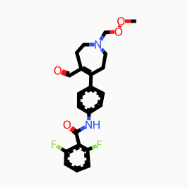 COOCN1CCC(C=O)=C(c2ccc(NC(=O)c3c(F)cccc3F)cc2)CC1